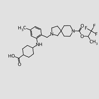 Cc1ccc(CN2CCC3(CCN(C(=O)OC(C)C(F)(F)F)CC3)C2)c(NC2CCC(C(=O)O)CC2)c1